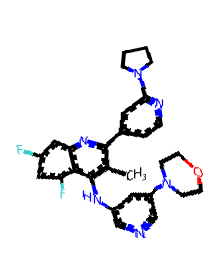 Cc1c(-c2ccnc(N3CCCC3)c2)nc2cc(F)cc(F)c2c1Nc1cncc(N2CCOCC2)c1